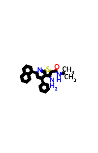 CC(C)NC(=O)c1sc2nc(-c3cccc4ccccc34)cc(-c3ccccc3)c2c1N